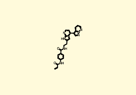 C=CC(=O)Nc1ccc(C(=O)NCCc2cc3c(-c4cnn5ncccc45)ccnc3[nH]2)cc1